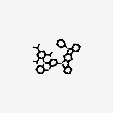 CC(C)c1cc(C(C)C)c(B2c3ccccc3Oc3cc(-n4c5ccccc5c5cc6c7ccccc7n(-c7ccccc7)c6cc54)ccc32)c(C(C)C)c1